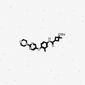 COC1(C)CC(C(=O)Nc2ccc(Oc3cnc(N4CCOCC4)nc3)c(C)c2)C1